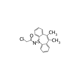 CC1=C(C)c2ccccc2S(=NC(=O)CCl)c2ccccc21